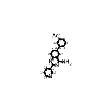 CC(=O)c1cccc(-c2ccc3nc(-c4cccnc4)nc(N)c3c2)c1